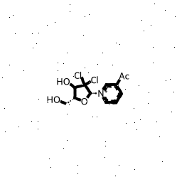 CC(=O)c1ccc[n+]([C@@H]2O[C@H](CO)C(O)C2(Cl)Cl)c1